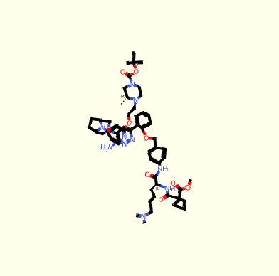 COC(=O)C1(C(=O)N[C@@H](CCCCN(C)C)C(=O)Nc2ccc(COc3ccccc3-c3cc(N4CC5CCC(C4)N5c4ccnc(OCCN5CCN(C(=O)OC(C)(C)C)C[C@H]5C)c4)c(N)nn3)cc2)CCC1